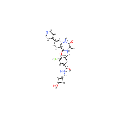 C[C@@H]1C(=O)N(C)c2cc(-c3ccncc3)ccc2C(=O)N1Cc1cc(F)cc(C(=O)NCC2CC(O)C2)c1